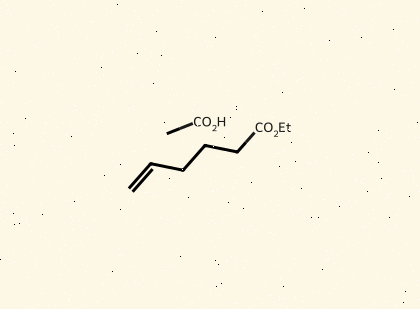 C=CCCCC(=O)OCC.CC(=O)O